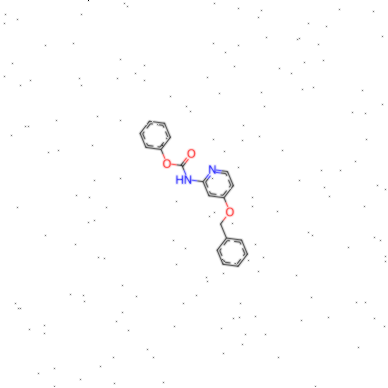 O=C(Nc1cc(OCc2ccccc2)ccn1)Oc1ccccc1